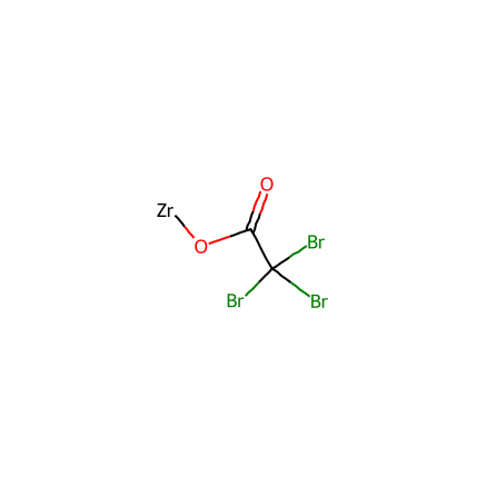 O=C([O][Zr])C(Br)(Br)Br